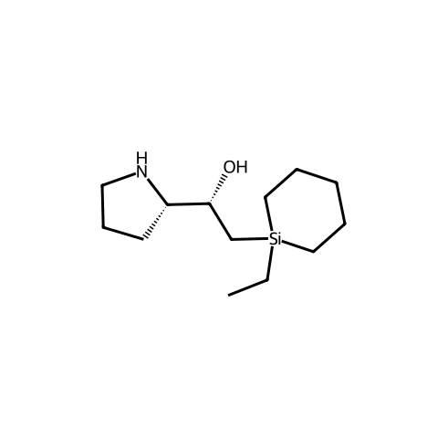 CC[Si]1(C[C@@H](O)[C@@H]2CCCN2)CCCCC1